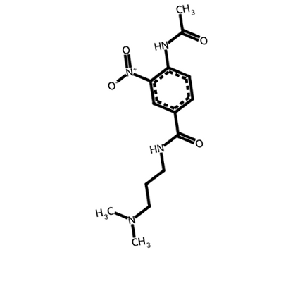 CC(=O)Nc1ccc(C(=O)NCCCN(C)C)cc1[N+](=O)[O-]